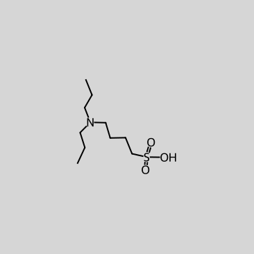 CCCN(CCC)CCCCS(=O)(=O)O